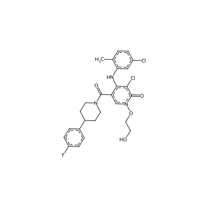 Cc1ccc(Cl)cc1Nc1c(C(=O)N2CCC(c3ccc(F)cc3)CC2)cn(OCCO)c(=O)c1Cl